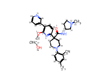 CCOc1nc(C2(C(=O)N[C@@H]3CCN(C)C3)CCN(c3ccc(C(F)(F)F)cc3C#N)CC2)ccc1-c1cccnc1.O=CO